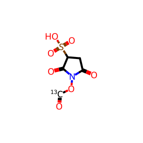 O=[13CH]ON1C(=O)CC(S(=O)(=O)O)C1=O